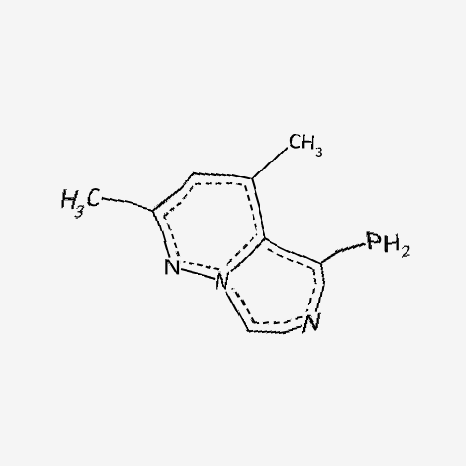 Cc1cc(C)c2c(P)ncn2n1